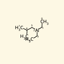 C[CH2][Al]([CH2]C)[CH2]C(C)C